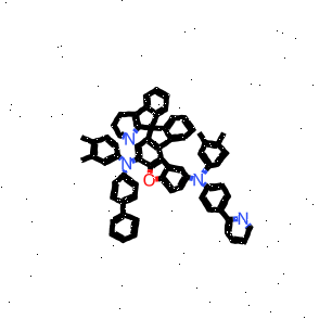 Cc1ccc(N(c2ccc(-c3ccccn3)cc2)c2ccc3oc4c(N(c5ccc(-c6ccccc6)cc5)c5ccc(C)c(C)c5)cc5c(c4c3c2)-c2ccccc2C52C3=C(CCC=N3)c3ccccc32)cc1C